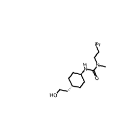 CC(C)CCN(C)C(=O)N[C@H]1CC[C@H](CCO)CC1